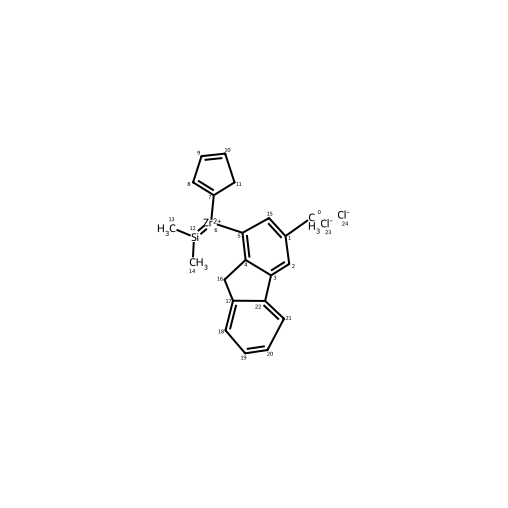 Cc1cc2c([c]([Zr+2]([C]3=CC=CC3)=[Si](C)C)c1)Cc1ccccc1-2.[Cl-].[Cl-]